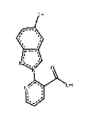 O=C(O)c1cccnc1-n1cc2cc(O)ccc2n1